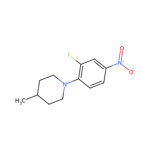 CC1CCN(c2ccc([N+](=O)[O-])cc2F)CC1